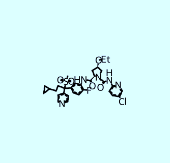 CCO[C@@H]1C[C@H](C(=O)Nc2cc(C(CCC3CC3)(c3ccncc3)S(C)(=O)=O)ccc2F)N(C(=O)Nc2ccc(Cl)cn2)C1